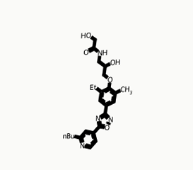 CCCCc1cc(-c2nc(-c3cc(C)c(OCC(O)CNC(=O)CO)c(CC)c3)no2)ccn1